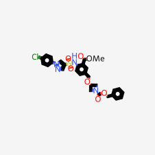 COC(=O)c1cc(COC2CN(C(=O)OCc3ccccc3)C2)ccc1NS(=O)(=O)c1cnn(-c2ccc(Cl)cc2)c1